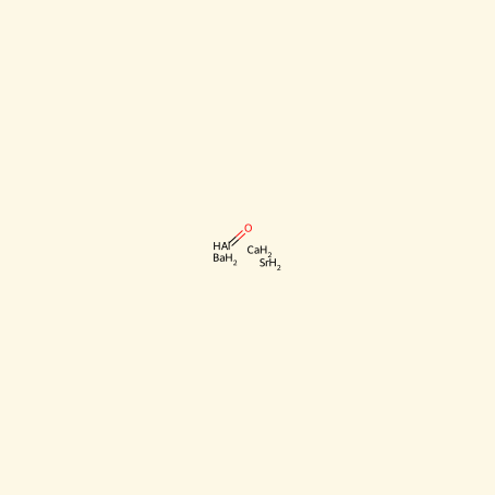 [BaH2].[CaH2].[O]=[AlH].[SrH2]